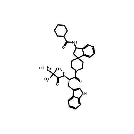 CC(C)(N)C(=O)N[C@H](Cc1c[nH]c2ccccc12)C(=O)N1CCC2(CC1)CC(NC(=O)C1CCCCC1)c1ccccc12.Cl